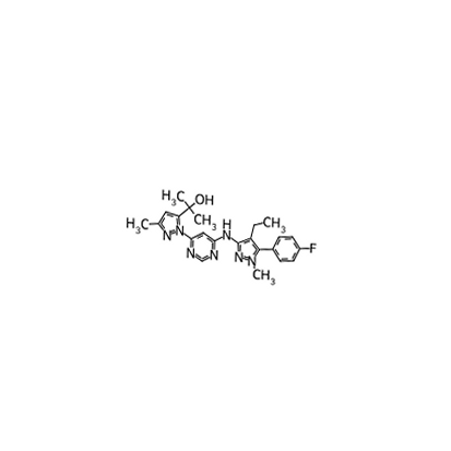 CCc1c(Nc2cc(-n3nc(C)cc3C(C)(C)O)ncn2)nn(C)c1-c1ccc(F)cc1